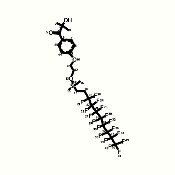 CC(C)(O)C(=O)c1ccc(OCCO[Si](C)(C)CCC(F)(F)C(F)(F)C(F)(F)C(F)(F)C(F)(F)C(F)(F)C(F)(F)C(F)(F)F)cc1